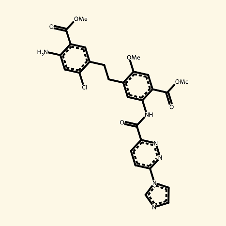 COC(=O)c1cc(CCc2cc(NC(=O)c3ccc(-n4ccnc4)nn3)c(C(=O)OC)cc2OC)c(Cl)cc1N